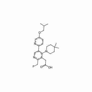 CC(C)COc1ccc(-c2cnc(CF)c(CC(=O)O)c2N2CCC(C)(C)CC2)nc1